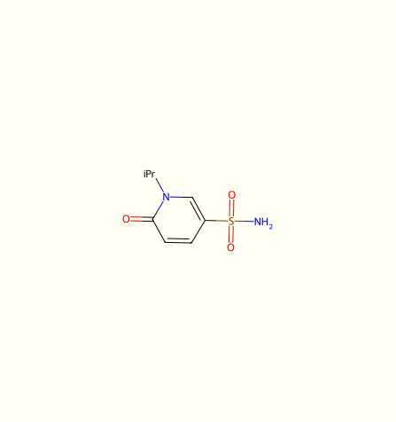 CC(C)n1cc(S(N)(=O)=O)ccc1=O